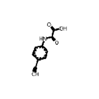 C#Cc1ccc(NC(=O)C(=O)O)cc1